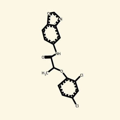 CC(Oc1ccc(Cl)cc1Cl)C(=O)Nc1ccc2ocnc2c1